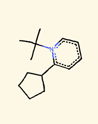 CC(C)(C)[n+]1ccccc1C1CCCC1